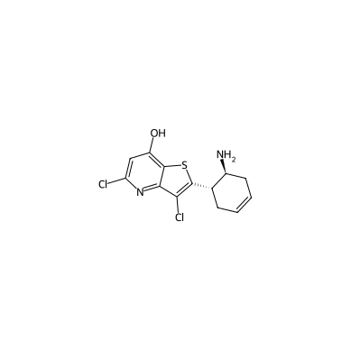 N[C@H]1CC=CC[C@@H]1c1sc2c(O)cc(Cl)nc2c1Cl